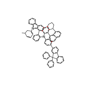 CC1C=CC=C(n2c3ccccc3c3cccc(-c4ccccc4N(c4ccc(-c5ccc6c(c5)C(c5ccccc5)(c5ccccc5)c5ccccc5-6)cc4)c4ccccc4-c4cccc5cccc(C6CCCCC6)c45)c32)C1